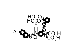 CC(=O)c1ccc2cc(N(C)CC(=O)Nc3ccc(N(CC(=O)O)CC(=O)O)c(OCCOc4ccccc4N(CC(=O)O)CC(=O)O)c3)ccc2c1